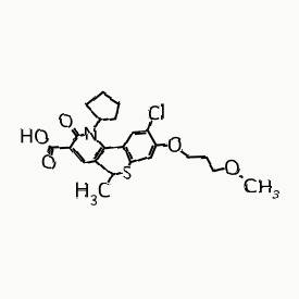 COCCCOc1cc2c(cc1Cl)-c1c(cc(C(=O)O)c(=O)n1C1CCCC1)C(C)S2